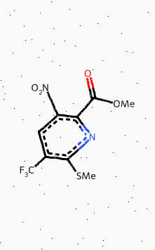 COC(=O)c1nc(SC)c(C(F)(F)F)cc1[N+](=O)[O-]